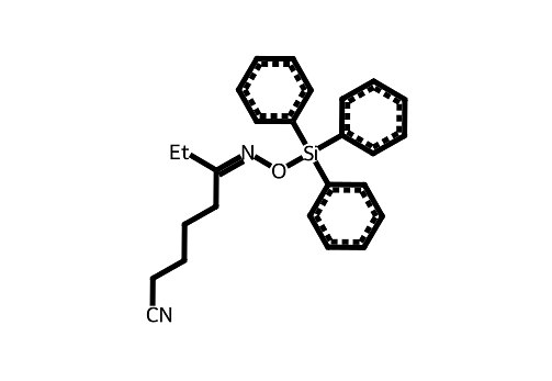 CCC(CCCCC#N)=NO[Si](c1ccccc1)(c1ccccc1)c1ccccc1